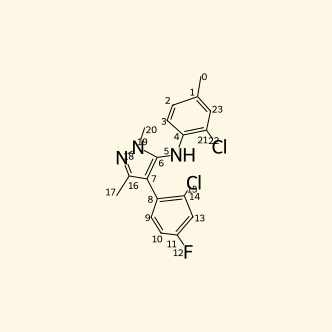 Cc1ccc(Nc2c(-c3ccc(F)cc3Cl)c(C)nn2C)c(Cl)c1